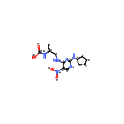 CC(CNc1nc(NC2CCCC2)ncc1[N+](=O)[O-])NC(=O)O